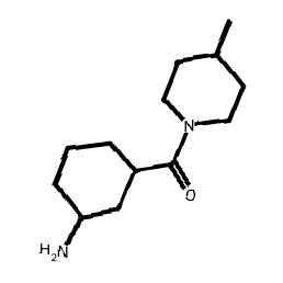 CC1CCN(C(=O)C2CCCC(N)C2)CC1